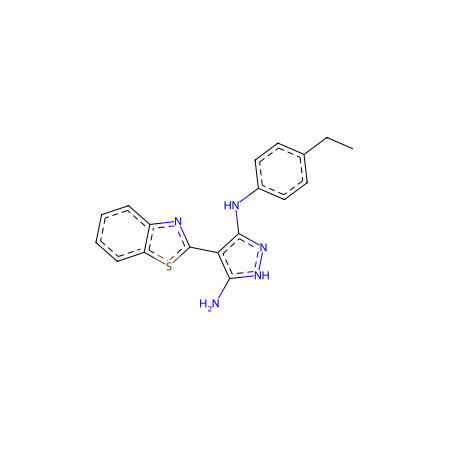 CCc1ccc(Nc2n[nH]c(N)c2-c2nc3ccccc3s2)cc1